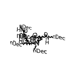 CCCCCCCCCCCCCCNC(=O)CCN(CCC(=O)NCCCCCCCCCCCC)CC(O)CN(CCCCCCCCCCCCCC)CCCCN(CCCCCCCCCCCCCC)CC(O)CNCCC(=O)NCCCCCCCCCCCC